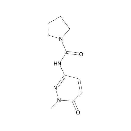 Cn1nc(NC(=O)N2CCCC2)ccc1=O